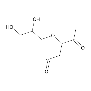 CC(=O)C(C[C]=O)OCC(O)CO